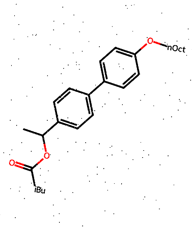 CCCCCCCCOc1ccc(-c2ccc(C(C)OC(=O)C(C)CC)cc2)cc1